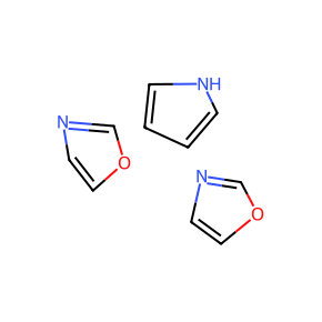 c1cc[nH]c1.c1cocn1.c1cocn1